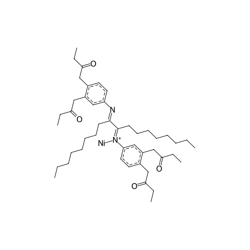 CCCCCCCCC(=Nc1ccc(CC(=O)CC)c(CC(=O)CC)c1)C(CCCCCCCC)=[N+]([Ni])c1ccc(CC(=O)CC)c(CC(=O)CC)c1